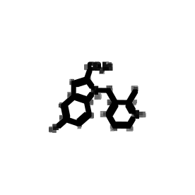 CCOC(=O)c1cc2cc(F)ccc2n1Cc1cccnc1C